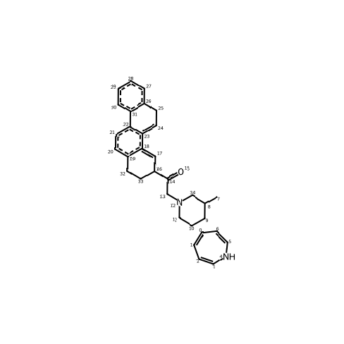 C1=CC=CNC=C1.CC1CCCN(CC(=O)C2C=c3c(ccc4c3=CCc3ccccc3-4)CC2)C1